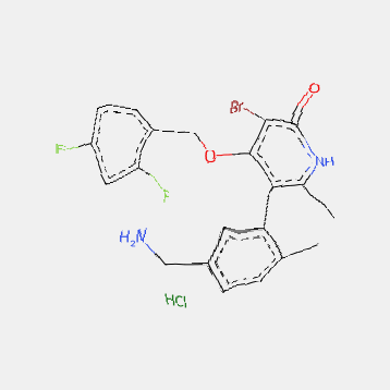 Cc1ccc(CN)cc1-c1c(C)[nH]c(=O)c(Br)c1OCc1ccc(F)cc1F.Cl